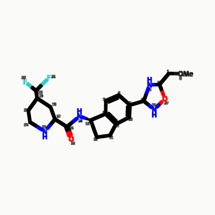 COCC1NC(c2ccc3c(c2)CC[C@H]3NC(=O)C2CC(C(F)F)CCN2)NO1